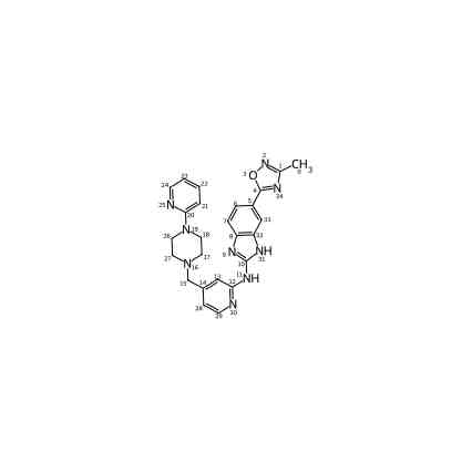 Cc1noc(-c2ccc3nc(Nc4cc(CN5CCN(c6ccccn6)CC5)ccn4)[nH]c3c2)n1